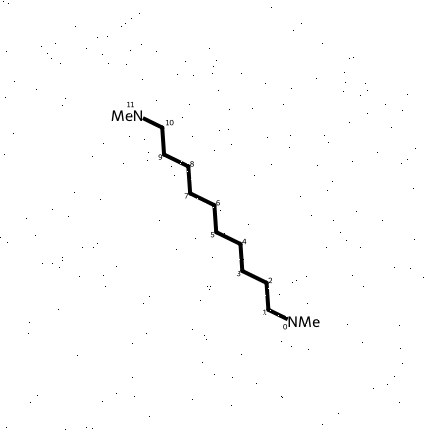 CNCCCCCCCCCCNC